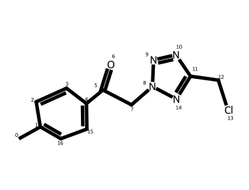 Cc1ccc(C(=O)Cn2nnc(CCl)n2)cc1